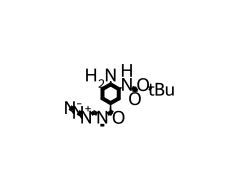 CN(CN=[N+]=[N-])C(=O)[C@H]1CC[C@H](N)[C@H](NC(=O)OC(C)(C)C)C1